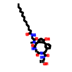 CCCCCCCCCCCCCC(=O)NCC(=O)N(C)C1C(=O)NCC(=O)NC(C(=O)NCBO)Cc2cccc(c2)-c2cc1ccc2O